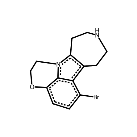 Brc1ccc2c3c1c1c(n3CCO2)CCNCC1